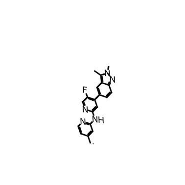 [CH2]c1ccnc(Nc2cc(-c3ccc4nn(C)c(C)c4c3)c(F)cn2)c1